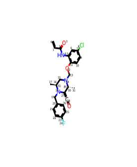 C=CC(=O)Nc1cc(Cl)ccc1OCN1C[C@H](C)N(Cc2ccc(F)cc2)C(=C=O)[C@H]1C